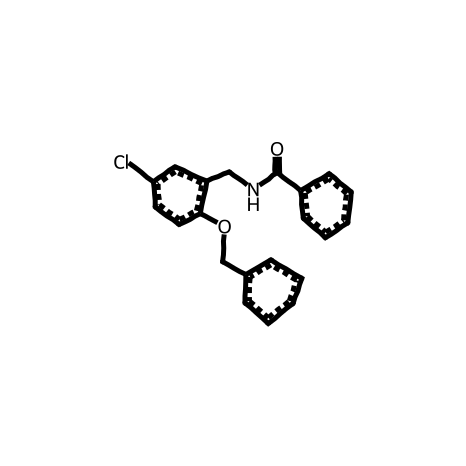 O=C(NCc1cc(Cl)ccc1OCc1ccccc1)c1ccccc1